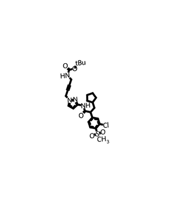 CC(C)(C)OC(=O)NCC#CCn1ccc(NC(=O)C(CC2CCCC2)c2ccc(S(C)(=O)=O)c(Cl)c2)n1